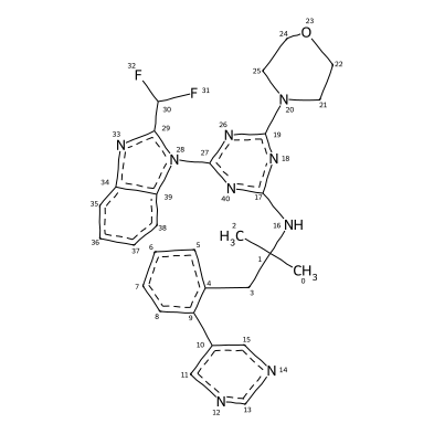 CC(C)(Cc1ccccc1-c1cncnc1)Nc1nc(N2CCOCC2)nc(-n2c(C(F)F)nc3ccccc32)n1